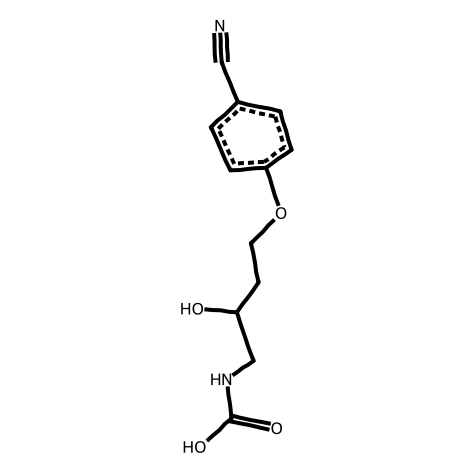 N#Cc1ccc(OCCC(O)CNC(=O)O)cc1